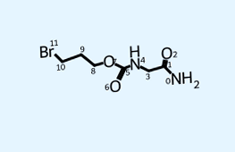 NC(=O)CNC(=O)OCCCBr